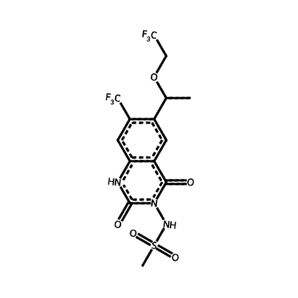 CC(OCC(F)(F)F)c1cc2c(=O)n(NS(C)(=O)=O)c(=O)[nH]c2cc1C(F)(F)F